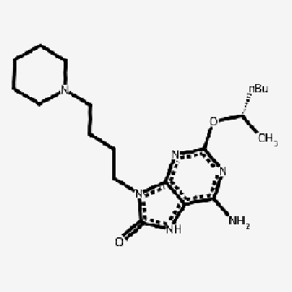 CCCC[C@H](C)Oc1nc(N)c2[nH]c(=O)n(CCCCN3CCCCC3)c2n1